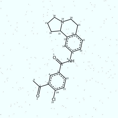 CC(=O)c1cc(C(=O)Nc2ccc3c(c2)C2CCCN2CC3)ccc1Cl